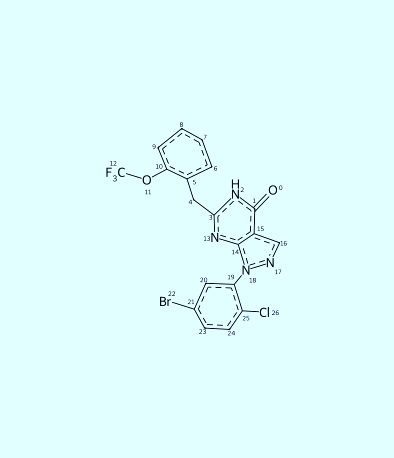 O=c1[nH]c(Cc2ccccc2OC(F)(F)F)nc2c1cnn2-c1cc(Br)ccc1Cl